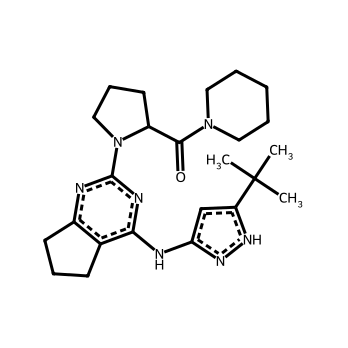 CC(C)(C)c1cc(Nc2nc(N3CCCC3C(=O)N3CCCCC3)nc3c2CCC3)n[nH]1